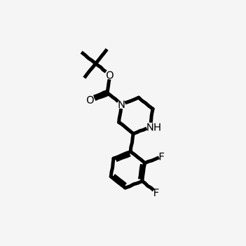 CC(C)(C)OC(=O)N1CCNC(c2cccc(F)c2F)C1